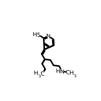 CCCC(/C=C1\c2ccnc(S)c21)CCCNC